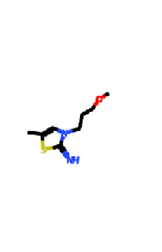 COCCCn1cc(C)sc1=N